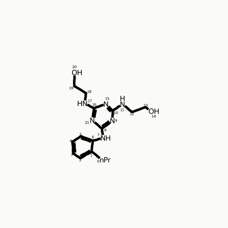 CCCc1ccccc1Nc1nc(NCCO)nc(NCCO)n1